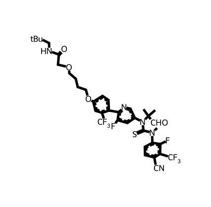 CN(C(=S)N(c1cnc(-c2ccc(OCCCCOCC(=O)NCC(C)(C)C)cc2C(F)(F)F)c(F)c1)C(C)(C)C=O)c1ccc(C#N)c(C(F)(F)F)c1F